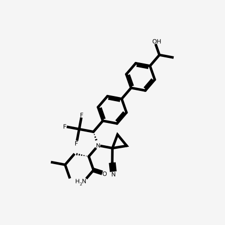 CC(C)C[C@@H](C(N)=O)N([C@@H](c1ccc(-c2ccc(C(C)O)cc2)cc1)C(F)(F)F)C1(C#N)CC1